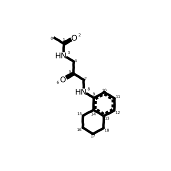 CC(=O)NCC(=O)CNc1cccc2c1CCCC2